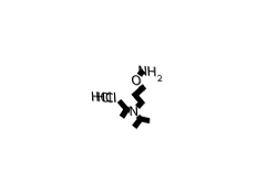 CC(C)N(CCCON)C(C)C.Cl.Cl